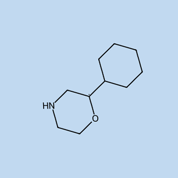 C1CCC([C]2CNCCO2)CC1